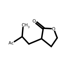 CC(=O)C(C)CC1CCOC1=O